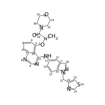 C[C@H](Oc1cccc2ncnc(Nc3ccc4c(cnn4Cc4cscn4)c3)c12)C(=O)N1CCOCC1